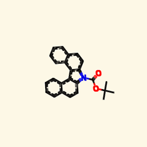 CC(C)(C)OC(=O)n1c2ccc3ccccc3c2c2c3ccccc3ccc21